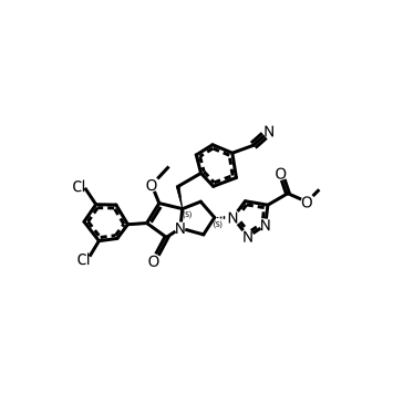 COC(=O)c1cn([C@@H]2CN3C(=O)C(c4cc(Cl)cc(Cl)c4)=C(OC)[C@]3(Cc3ccc(C#N)cc3)C2)nn1